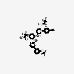 N#Cc1ccc(N2CCC[C@H](N[C@@H]3CCCC[C@H]3Nc3nccc(-c4cccc(OC(F)(F)F)c4)n3)C2)cc1.O=C(O)C(F)(F)F.O=C(O)C(F)(F)F